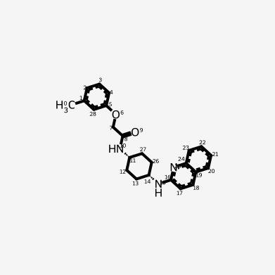 Cc1cccc(OCC(=O)N[C@H]2CC[C@@H](Nc3ccc4ccccc4n3)CC2)c1